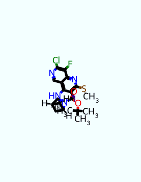 CSc1nc2c(F)c(Cl)ncc2c(N[C@H]2[C@@H]3C[C@H]2N(C(=O)OC(C)(C)C)C3)c1I